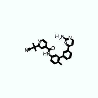 Cc1ccc(NC(=O)c2ccnc(C(C)(C)C#N)c2)cc1-c1cccc(-c2ccnc(N)n2)c1